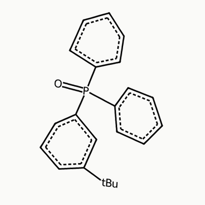 CC(C)(C)c1cccc(P(=O)(c2ccccc2)c2ccccc2)c1